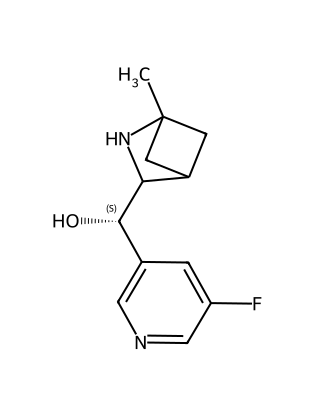 CC12CC(C1)C([C@@H](O)c1cncc(F)c1)N2